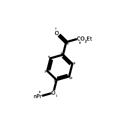 CCCOc1ccc(C(=O)C(=O)OCC)cc1